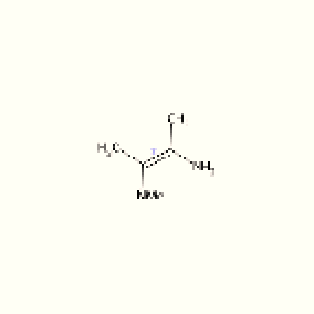 CN/C(C)=C(/C)N